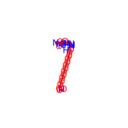 O=C(CCOCCOCCOCCOCCOCCOCCOCCOCCOCCOCCOCCOCCn1cc(-c2cccc(NC(=O)N3CCC4(CC3)NC(=O)N(c3ccncc3)C4=O)c2)nn1)ON1C(=O)CCC1=O